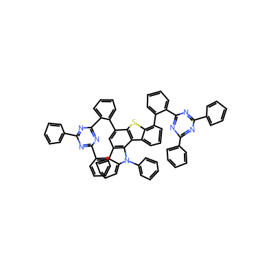 c1ccc(-c2nc(-c3ccccc3)nc(-c3ccccc3-c3cccc4c3sc3c(-c5ccccc5-c5nc(-c6ccccc6)nc(-c6ccccc6)n5)cc5c6ccccc6n(-c6ccccc6)c5c34)n2)cc1